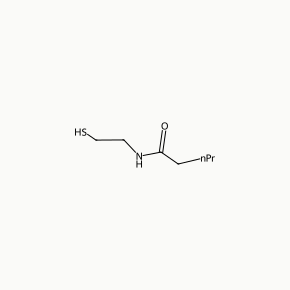 CCCCC(=O)NCCS